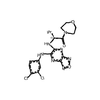 CC(C)[C@H](Nc1nc2nonc2nc1Nc1ccc(Cl)c(Cl)c1)C(=O)N1CCOCC1